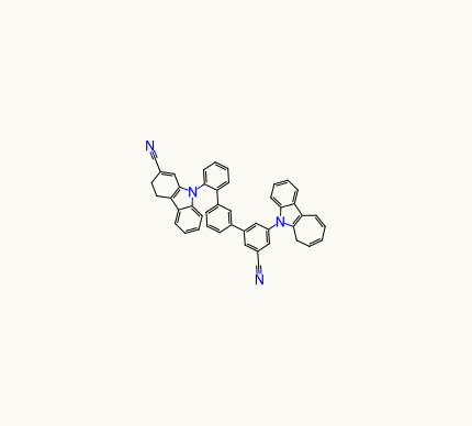 N#CC1=Cc2c(c3ccccc3n2-c2ccccc2-c2cccc(-c3cc(C#N)cc(-n4c5c(c6ccccc64)C=CC=CC5)c3)c2)CC1